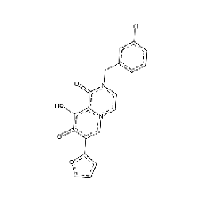 O=c1c(-c2ccco2)cn2ccn(Cc3cccc(Cl)c3)c(=O)c2c1O